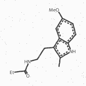 CCC(=O)NCCc1c(C)[nH]c2ccc(OC)cc12